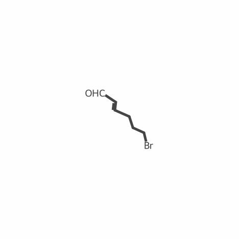 O=C/C=C/CCCBr